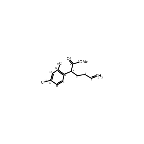 C=CCCC(C(=O)OC)c1ccc(Cl)cc1Cl